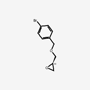 Brc1ccc(COC[C@H]2CO2)cc1